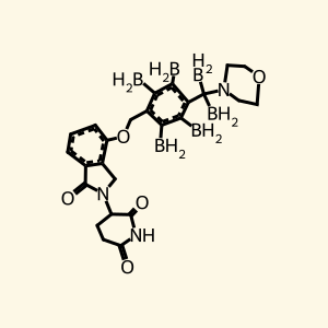 Bc1c(B)c(C(B)(B)N2CCOCC2)c(B)c(B)c1COc1cccc2c1CN(C1CCC(=O)NC1=O)C2=O